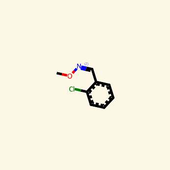 CO/N=C\c1ccccc1Cl